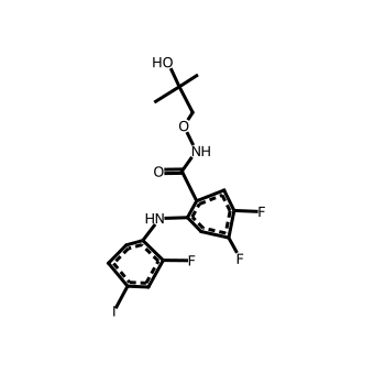 CC(C)(O)CONC(=O)c1cc(F)c(F)cc1Nc1ccc(I)cc1F